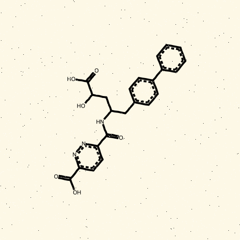 O=C(O)c1ccc(C(=O)NC(Cc2ccc(-c3ccccc3)cc2)CC(O)C(=O)O)nn1